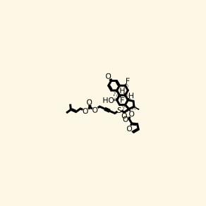 CC(C)=CCOC(=O)OCC#CCSC(=O)[C@@]1(OC(=O)c2ccco2)[C@H](C)C[C@H]2[C@@H]3C[C@H](F)C4=CC(=O)C=C[C@]4(C)[C@@]3(F)[C@@H](O)C[C@@]21C